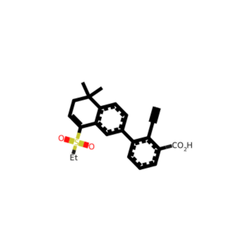 C#Cc1c(C(=O)O)cccc1-c1ccc2c(c1)C(S(=O)(=O)CC)=CCC2(C)C